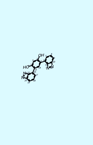 Oc1cc(O)c(-c2cccc3c2N=N3)cc1-c1cccc2c1N=N2